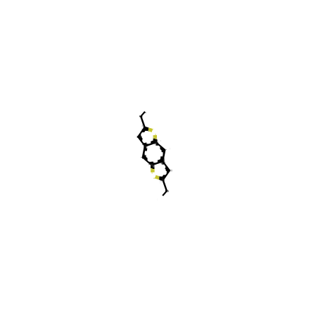 CCc1cc2cc3sc(CC)cc3cc2s1